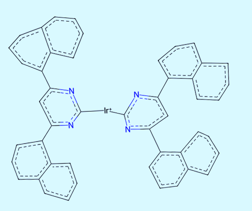 c1ccc2c(-c3cc(-c4cccc5ccccc45)n[c]([Ir+][c]4nc(-c5cccc6ccccc56)cc(-c5cccc6ccccc56)n4)n3)cccc2c1